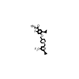 CC(C)(C)OC(=O)c1cc(C2CC2)c(OCC2CCN(Cc3cc(C(F)(F)F)cc(C4CC4)n3)CC2)cc1F